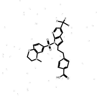 CN1CCOc2ccc(S(=O)(=O)n3c(CCc4ccc(C(=O)O)cc4)cc4cc(C(F)(F)F)cnc43)cc21